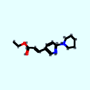 CCOC(=O)/C=C/c1ccc(N2CCCCC2)nc1